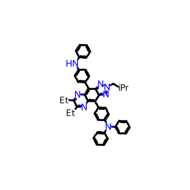 CCc1nc2c(-c3ccc(Nc4ccccc4)cc3)c3nn(CC(C)C)nc3c(-c3ccc(N(c4ccccc4)c4ccccc4)cc3)c2nc1CC